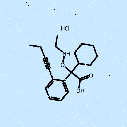 CCC#Cc1ccccc1C(ONCC)(C(=O)O)C1CCCCC1.Cl